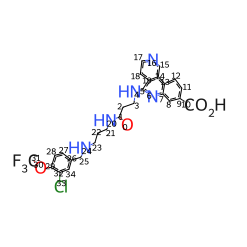 O=C(CCNc1nc2cc(C(=O)O)ccc2c2cnccc12)NCCCNCc1ccc(OC(F)(F)F)c(Cl)c1